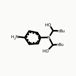 CCCCC(O)N(c1ccc(N)cc1)C(O)CCCC